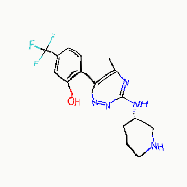 Cc1nc(N[C@H]2CCCNC2)nnc1-c1ccc(C(F)(F)F)cc1O